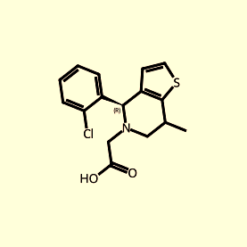 CC1CN(CC(=O)O)[C@@H](c2ccccc2Cl)c2ccsc21